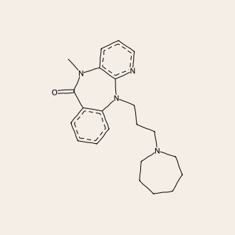 CN1C(=O)c2ccccc2N(CCCN2CCCCCC2)c2ncccc21